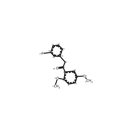 COc1ccc(OC)c(C(=O)Cc2cccc(F)c2)c1